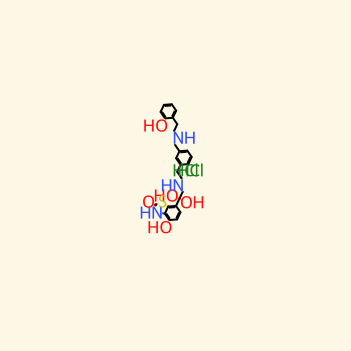 Cl.Cl.O=c1[nH]c2c(O)ccc(C(O)(O)CNCCc3cccc(CNCCc4ccccc4O)c3)c2s1